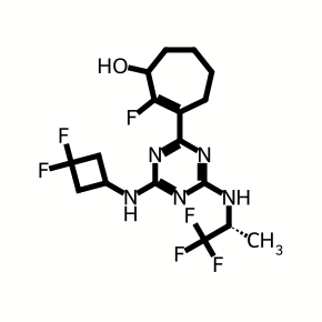 C[C@@H](Nc1nc(NC2CC(F)(F)C2)nc(C2=C(F)C(O)CCCC2)n1)C(F)(F)F